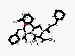 CC(=O)N([C@@H](Cc1ccccc1)C(=O)C(=O)O)N1C(=O)C(C(C)C)N(C(=O)CCc2ccccc2)C=C1c1ccccc1